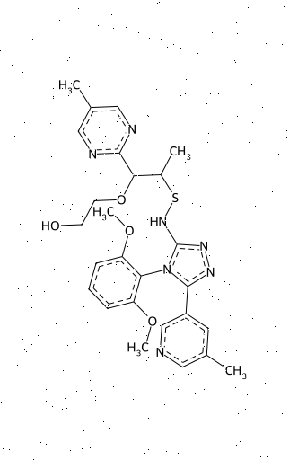 COc1cccc(OC)c1-n1c(NSC(C)C(OCCO)c2ncc(C)cn2)nnc1-c1cncc(C)c1